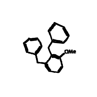 [CH2]Oc1cccc(Cc2ccccc2)c1Cc1ccccc1